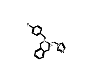 Fc1ccc(CN2Cc3ccccc3C[C@H]2Cn2ccnc2)cc1